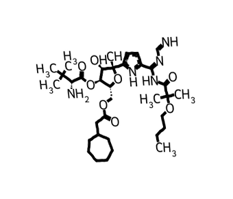 CCCCOC(C)(C)C(=O)N/C(=N/C=N)c1ccc([C@]2(C)O[C@H](COC(=O)CC3CCCCCC3)[C@@H](OC(=O)[C@H](N)C(C)(C)C)[C@H]2O)[nH]1